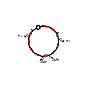 COCOC12CCC(C)(CC1)c1ccc(cc1)-c1ccc(cc1)-c1ccc(cc1)C1(C)CCC(OCOC)(CC1)c1ccc(cc1)-c1ccc(cc1)C1(OCOC)CCC(OCOC)(CC1)c1ccc(cc1)-c1ccc(cc1)-c1ccc2cc1